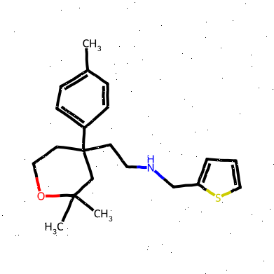 Cc1ccc(C2(CCNCc3cccs3)CCOC(C)(C)C2)cc1